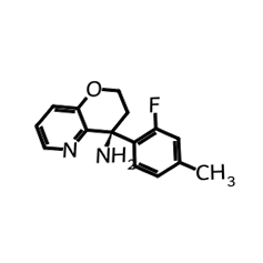 Cc1ccc([C@@]2(N)CCOc3cccnc32)c(F)c1